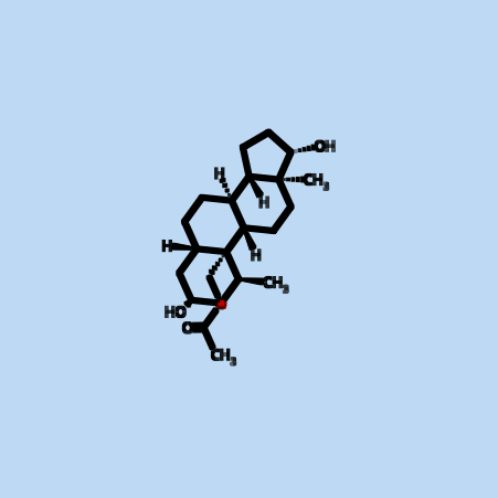 CC(=O)OC[C@]12[C@@H](CC[C@H]3[C@@H]4CC[C@H](O)[C@@]4(C)CC[C@@H]31)C[C@H](O)C[C@@H]2C